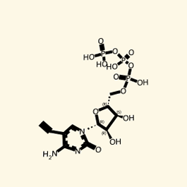 C#Cc1cn([C@@H]2O[C@H](COP(=O)(O)OP(=O)(O)OP(=O)(O)O)[C@@H](O)[C@H]2O)c(=O)nc1N